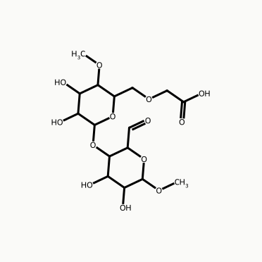 COC1OC(C=O)C(OC2OC(COCC(=O)O)C(OC)C(O)C2O)C(O)C1O